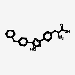 Cl.N[C@@H](Cc1ccc(-c2noc(-c3ccc(Cc4ccccc4)cc3)n2)cc1)C(=O)O